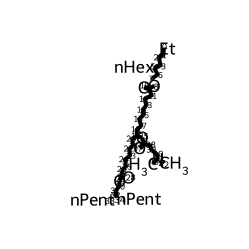 CC/C=C/C=C(\CCCCCC)CCOC(=O)CCCCCCCCC(CCCCCCCC(=O)OCCC(CCCCC)CCCCC)OC(=O)CCCN(C)C